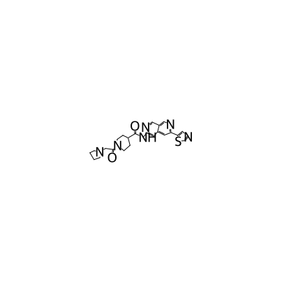 O=C(Nc1cc2cc(-c3cncs3)ncc2cn1)C1CCN(C(=O)CN2CCCC2)CC1